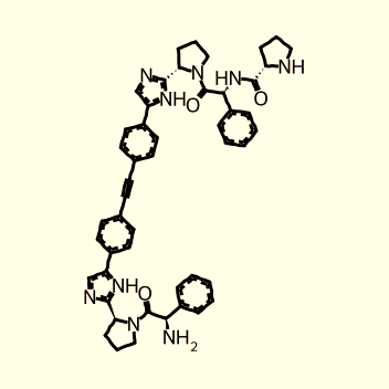 N[C@@H](C(=O)N1CCC[C@H]1c1ncc(-c2ccc(C#Cc3ccc(-c4cnc([C@@H]5CCCN5C(=O)[C@H](NC(=O)[C@@H]5CCCN5)c5ccccc5)[nH]4)cc3)cc2)[nH]1)c1ccccc1